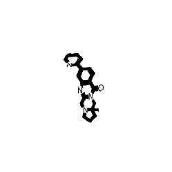 CC12CCCN1Cc1nc3cc(-c4ccccn4)ccc3c(=O)n1C2